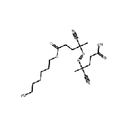 CC(C#N)(CCC(=O)O)N=NC(C)(C#N)CCC(=O)SCCCCCCS